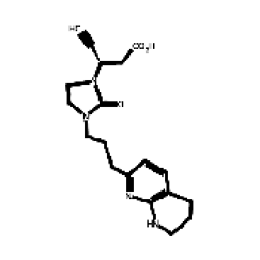 C#C[C@@H](CC(=O)O)N1CCN(CCCc2ccc3c(n2)NCCC3)C1=O